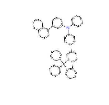 c1ccc(N(c2ccc(-c3ccc4c(c3)C(c3ccccc3)(c3ccccc3)c3ccccc3-4)cc2)c2cccc(-c3cccc4ccccc34)c2)cc1